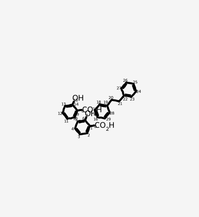 O=C(O)c1ccccc1O.O=C(O)c1ccccc1O.c1ccc(CCc2ccccc2)cc1